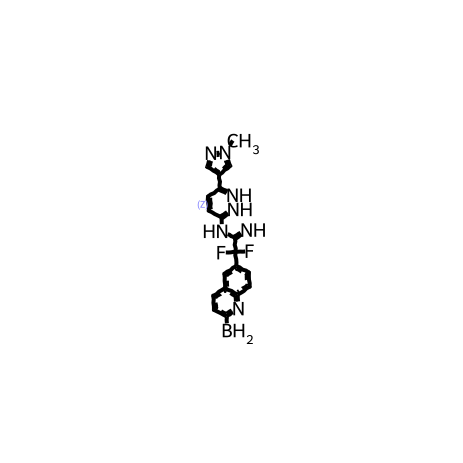 Bc1ccc2cc(C(F)(F)C(=N)NC(=N)/C=C\C(=N)c3cnn(C)c3)ccc2n1